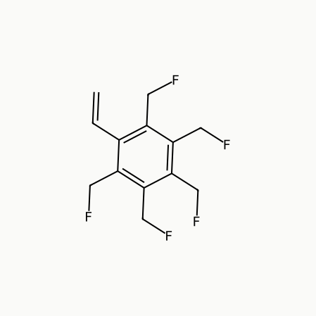 C=Cc1c(CF)c(CF)c(CF)c(CF)c1CF